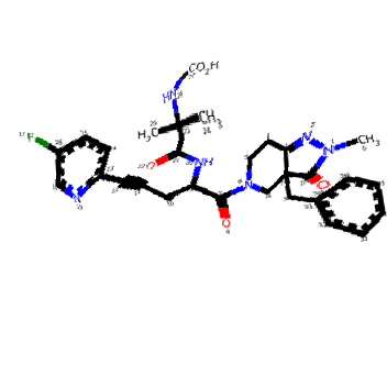 CN1N=C2CCN(C(=O)C(CC#Cc3ccc(F)cn3)NC(=O)C(C)(C)NC(=O)O)CC2(Cc2ccccc2)C1=O